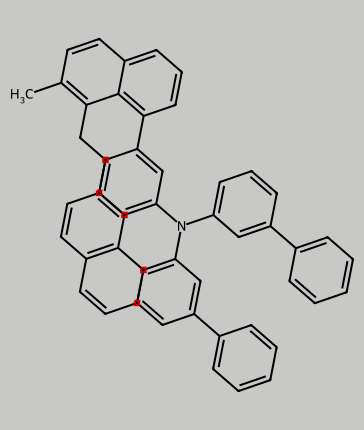 Cc1ccc2cccc(-c3cccc(N(c4cccc(-c5ccccc5)c4)c4cccc(-c5ccccc5)c4)c3)c2c1CCc1ccc2c(c1)CCC=C2